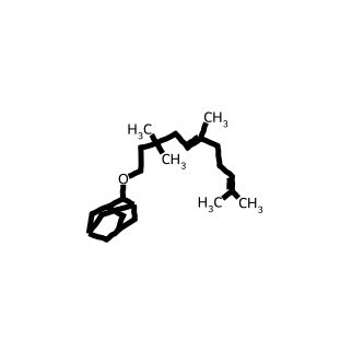 CC(C)=CCC/C(C)=C/CC(C)(C)CCOC1C2CC3CC(C2)CC1C3